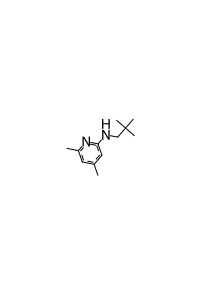 Cc1cc(C)nc(NCC(C)(C)C)c1